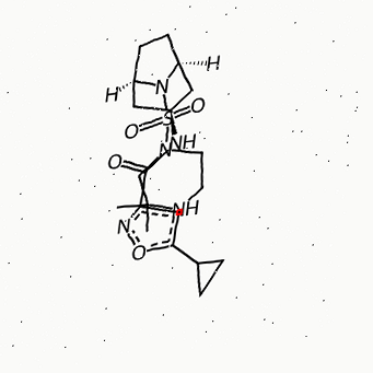 CC1(C)CN(S(=O)(=O)N2[C@@H]3CC[C@H]2C[C@@H](NC(=O)c2cc(C4CC4)on2)C3)CCN1